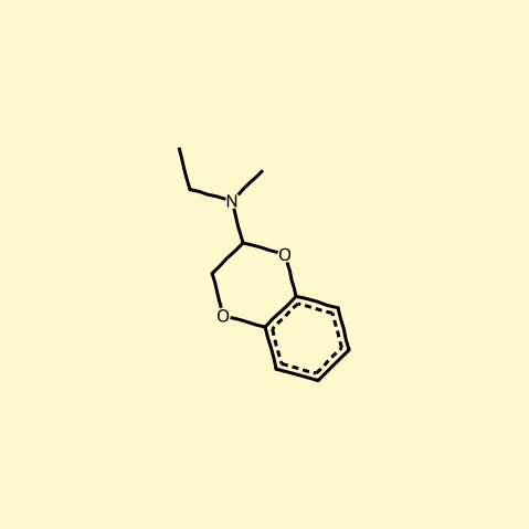 CCN(C)C1COc2ccccc2O1